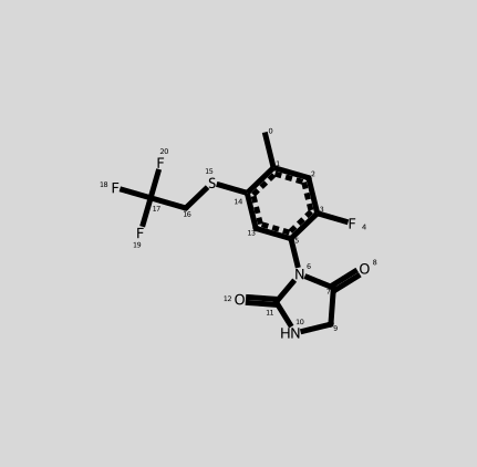 Cc1cc(F)c(N2C(=O)CNC2=O)cc1SCC(F)(F)F